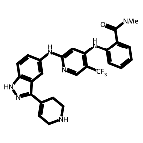 CNC(=O)c1ccccc1Nc1cc(Nc2ccc3[nH]nc(C4=CCNCC4)c3c2)ncc1C(F)(F)F